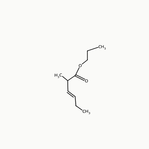 CCC=CC(C)C(=O)OCCC